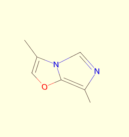 Cc1ncn2c(C)coc12